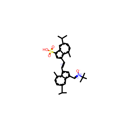 Cc1ccc(C(C)C)cc2c(/C=[N+](\[O-])C(C)(C)C)cc(/C=C/c3cc(S(=O)(=O)O)c4cc(C(C)C)ccc(C)c3-4)c1-2